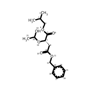 CC(C)COC(=O)[C@H](CC(=O)OCc1ccccc1)OC(C)O